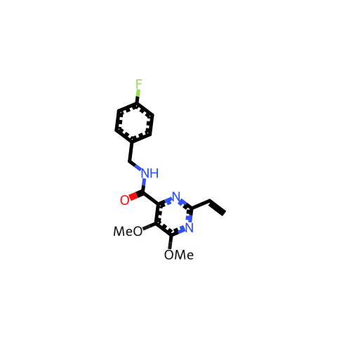 C=Cc1nc(OC)c(OC)c(C(=O)NCc2ccc(F)cc2)n1